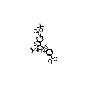 C=C(C)Nc1sc2c(c1-c1nc3cc(C(=O)OC)ccc3s1)CCN(C(=O)OC(C)(C)C)C2